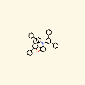 c1ccc(-c2ccc(N(c3cc(-c4ccccc4)cc(-c4ccccc4)c3)c3cccc4oc5c(-c6ccccc6)cc6ccccc6c5c34)cc2)cc1